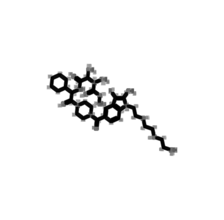 Cc1c(F)c2cc(C(=O)N3CCN(C(=O)C(NC(=O)C(C)N(C)C(=O)OC(C)(C)C)C4CCCCC4)CC3)ccc2n1CCOCCOCCO